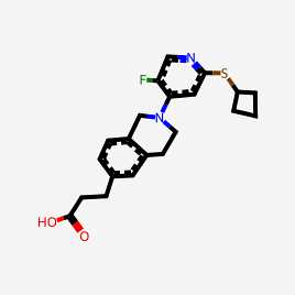 O=C(O)CCc1ccc2c(c1)CCN(c1cc(SC3CCC3)ncc1F)C2